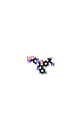 N#CC1(O)CCN(C(=O)c2cnc3ccc(F)cc3c2-c2ccc(C3(C#N)CC3)cc2)CC1